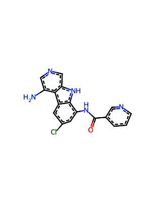 Nc1cncc2[nH]c3c(NC(=O)c4cccnc4)cc(Cl)cc3c12